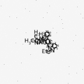 CCOc1nc2cccc(C(=O)O)c2n1Cc1ccc(-c2ccccc2)c(S(=O)(=O)Nc2onc(C)c2C)c1